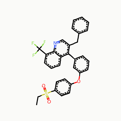 CCS(=O)(=O)c1ccc(Oc2cccc(-c3c(Cc4ccccc4)cnc4c(C(F)(F)F)cccc34)c2)cc1